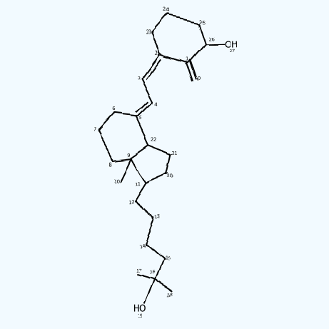 C=C1/C(=C\C=C2/CCCC3(C)C(CCCCC(C)(C)O)CCC23)CCCC1O